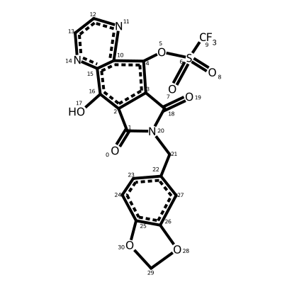 O=C1c2c(c(OS(=O)(=O)C(F)(F)F)c3nccnc3c2O)C(=O)N1Cc1ccc2c(c1)OCO2